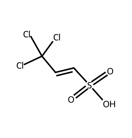 O=S(=O)(O)C=CC(Cl)(Cl)Cl